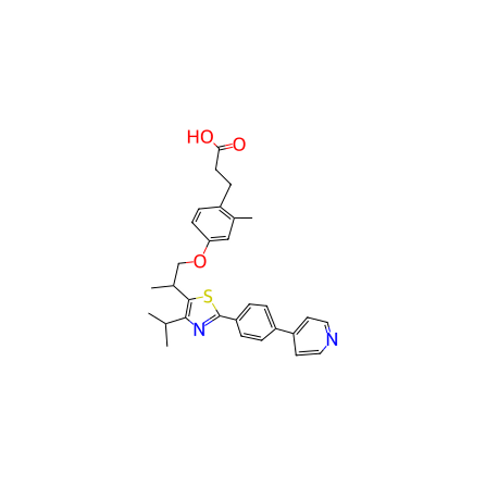 Cc1cc(OCC(C)c2sc(-c3ccc(-c4ccncc4)cc3)nc2C(C)C)ccc1CCC(=O)O